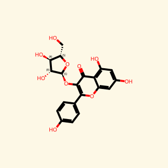 O=c1c(O[C@@H]2O[C@@H](CO)[C@H](O)[C@H]2O)c(-c2ccc(O)cc2)oc2cc(O)cc(O)c12